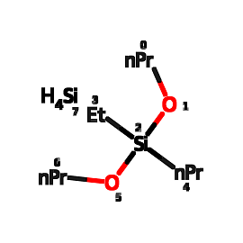 CCCO[Si](CC)(CCC)OCCC.[SiH4]